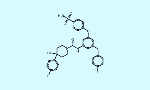 NS(=O)(=O)c1ccc(Oc2cc(NC(=O)N3CCC(O)(c4ccc(F)cc4)CC3)cc(Oc3ccc(F)cc3)c2)cc1